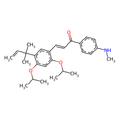 C=CC(C)(C)c1cc(C=CC(=O)c2ccc(NC)cc2)c(OC(C)C)cc1OC(C)C